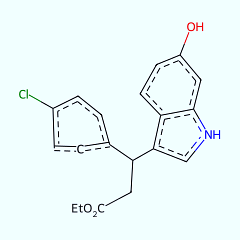 CCOC(=O)CC(c1ccc(Cl)cc1)c1c[nH]c2cc(O)ccc12